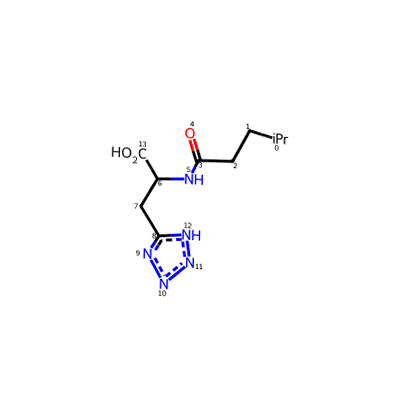 CC(C)CCC(=O)NC(Cc1nnn[nH]1)C(=O)O